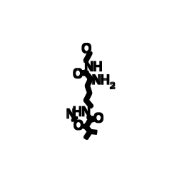 CC(C)C(OC#N)C(=O)NCCCC[C@H](N)C(=O)NCC=O